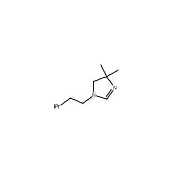 CC(C)CCN1C=NC(C)(C)C1